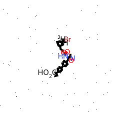 [2H]C([2H])(Br)c1cccc(CCOC(=O)Nc2c(C)noc2-c2ccc(-c3ccc(C4(C(=O)O)CC4)cc3)cc2)c1